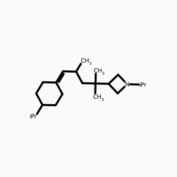 CC(C=C1CCC(C(C)C)CC1)CC(C)(C)C1CN(C(C)C)C1